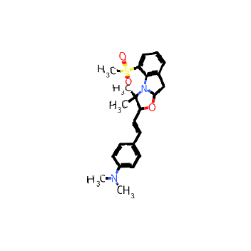 CN(C)c1ccc(C=CC2OC3Cc4cccc(S(C)(=O)=O)c4N3C2(C)C)cc1